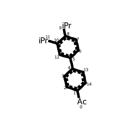 CC(=O)c1ccc(-c2ccc(C(C)C)c(C(C)C)c2)cc1